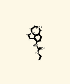 CCOC(=O)Nc1ccc2c3c1CCN3CCNC2